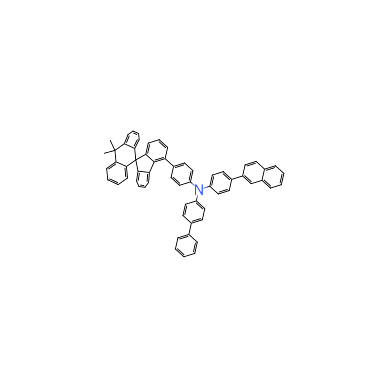 CC1(C)c2ccccc2C2(c3ccccc3-c3c(-c4ccc(N(c5ccc(-c6ccccc6)cc5)c5ccc(-c6ccc7ccccc7c6)cc5)cc4)cccc32)c2ccccc21